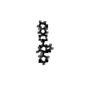 Cc1nc(N2CCC3(CC2)Cc2cccnc2C3)c2ccnn2c1-c1cncnc1